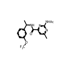 CC(=O)Nc1nc(C)cc(C(=O)NC(C)c2cccc(OC(F)(F)F)c2)n1